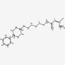 CC(N)=CC(=O)OCCCCCCN1CCN(c2ccccc2)CC1